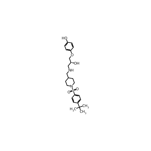 CC(C)(C)c1ccc(S(=O)(=O)N2CCC(CNC[C@H](O)COc3ccc(O)cc3)CC2)cc1